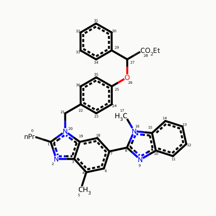 CCCc1nc2c(C)cc(-c3nc4ccccc4n3C)cc2n1Cc1ccc(OC(C(=O)OCC)c2ccccc2)cc1